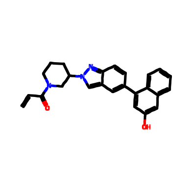 C=CC(=O)N1CCCC(n2cc3cc(-c4cc(O)cc5ccccc45)ccc3n2)C1